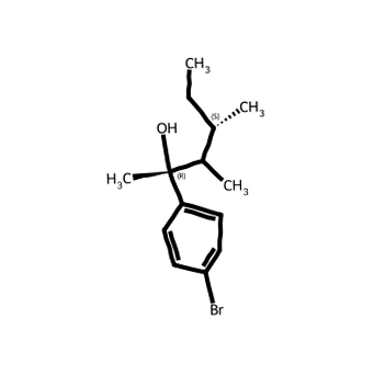 CC[C@H](C)C(C)[C@@](C)(O)c1ccc(Br)cc1